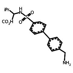 CC(C)C(NS(=O)(=O)c1ccc(-c2ccc(CN)cc2)cc1)C(=O)O